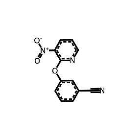 N#Cc1cccc(Oc2ncccc2[N+](=O)[O-])c1